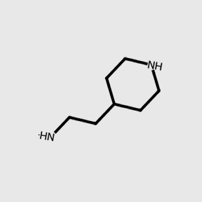 [NH]CCC1CCNCC1